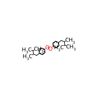 CC(C)C(C)Cc1ccc(OOc2ccc(CC(C)C(C)C)cc2)cc1